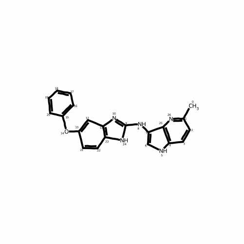 Cc1ccc2[nH]cc(Nc3nc4cc(Oc5ccccc5)ccc4[nH]3)c2n1